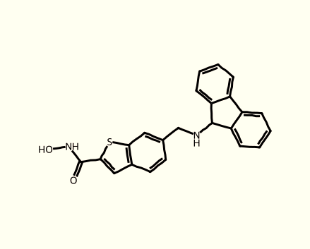 O=C(NO)c1cc2ccc(CNC3c4ccccc4-c4ccccc43)cc2s1